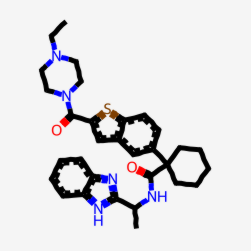 CCN1CCN(C(=O)c2cc3cc(C4(C(=O)NC(C)c5nc6ccccc6[nH]5)CCCCC4)ccc3s2)CC1